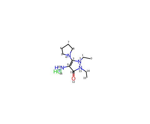 CCn1c(N2CCCC2)c(N)c(=O)n1CC.Cl